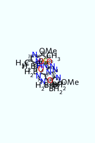 BC(B)(B)Oc1ncnc(OC(B)(B)B)c1-n1c(NS(=O)(=O)[C@@H](C)[C@H](OC)c2ncc(C)cn2)nnc1-c1cccc(OC)n1